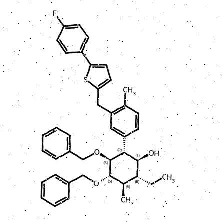 CC[C@@H]1[C@@H](C)[C@H](OCc2ccccc2)[C@@H](OCc2ccccc2)[C@H](c2ccc(C)c(Cc3ccc(-c4ccc(F)cc4)s3)c2)[C@H]1O